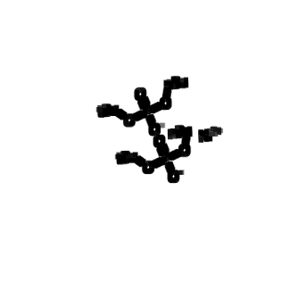 CCCCOP(=O)([O-])OC(C)(C)C.CCCCOP(=O)([O-])OC(C)(C)C.[Ni+2]